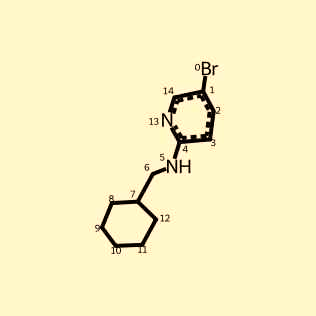 Brc1ccc(NCC2CCCCC2)nc1